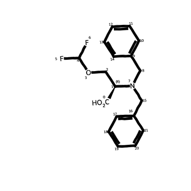 O=C(O)[C@@H](COC(F)F)N(Cc1ccccc1)Cc1ccccc1